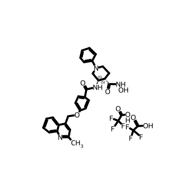 Cc1cc(COc2ccc(C(=O)N[C@@H]3CN(c4ccccc4)CC[C@@H]3C(=O)NO)cc2)c2ccccc2n1.O=C(O)C(F)(F)F.O=C(O)C(F)(F)F